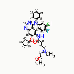 COCCN(C)CC=CC(=O)Nc1cc2c(N(c3ccccc3)c3ccc(F)c(Cl)c3)ncnc2cc1OC1CCCC1